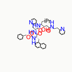 CC(C)CC(NC(=O)[C@H](Cc1ccccn1)NC(=O)[C@H](Cc1cccc2ccccc12)NC(=O)OCc1ccccc1)C(O)CC(=O)NCCc1ccccn1